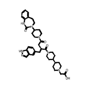 O=C(O)CN1CCC(C2CCN(C(=O)C(CC(=O)N3CCC(N4CCc5ccccc5NC4=O)CC3)Cc3ccc4[nH]ncc4c3)CC2)CC1